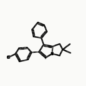 CC1(C)Cc2c(-c3ccccc3)c(-c3ccc(Cl)cc3)[c]n2C1